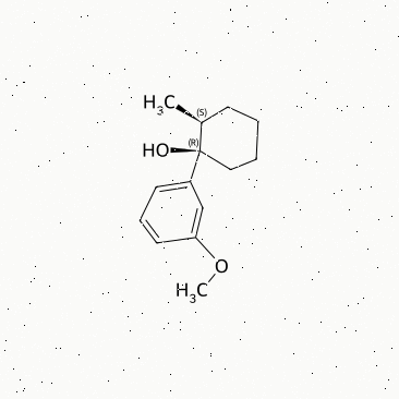 COc1cccc([C@@]2(O)CCCC[C@@H]2C)c1